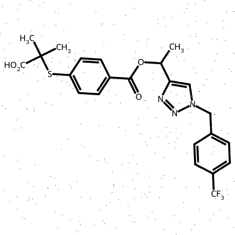 CC(OC(=O)c1ccc(SC(C)(C)C(=O)O)cc1)c1cn(Cc2ccc(C(F)(F)F)cc2)nn1